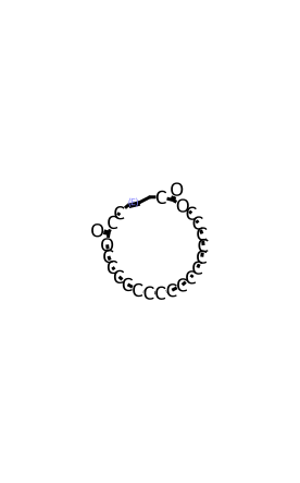 O=C1CC/C=C/CCC(=O)OCCCCCCCCCCCCCCCCO1